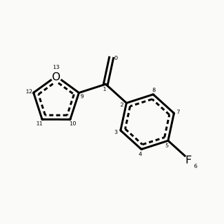 C=C(c1ccc(F)cc1)c1ccco1